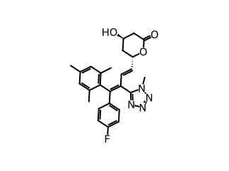 Cc1cc(C)c(C(=C(C=C[C@@H]2C[C@@H](O)CC(=O)O2)c2nnnn2C)c2ccc(F)cc2)c(C)c1